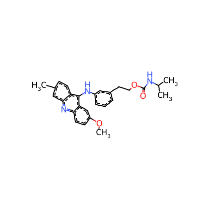 COc1ccc2nc3cc(C)ccc3c(Nc3cccc(CCOC(=O)NC(C)C)c3)c2c1